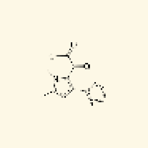 Cc1cc(-c2cccs2)c(C(=O)C(=O)Cl)n1C